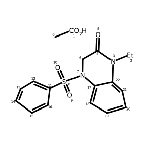 CC(=O)O.CCN1C(=O)CN(S(=O)(=O)c2ccccc2)c2ccccc21